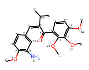 COc1ccc(C=C(C(=O)c2ccc(OC)c(OC)c2OC)C(C)C)cc1N